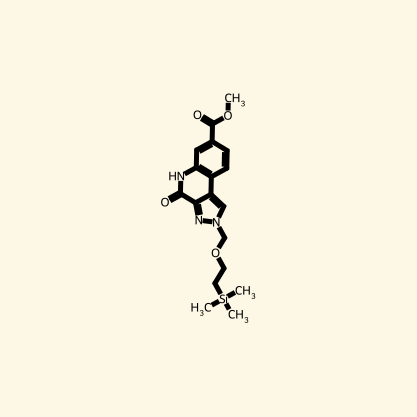 COC(=O)c1ccc2c(c1)[nH]c(=O)c1nn(COCC[Si](C)(C)C)cc12